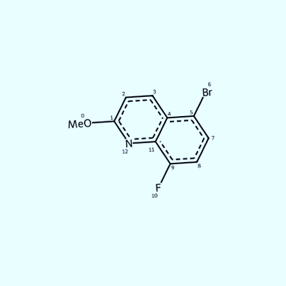 COc1ccc2c(Br)ccc(F)c2n1